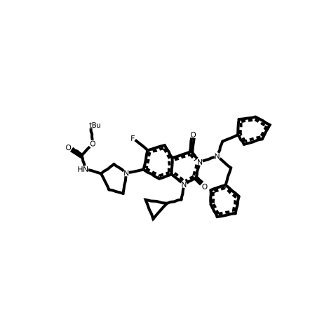 CC(C)(C)OC(=O)NC1CCN(c2cc3c(cc2F)c(=O)n(N(Cc2ccccc2)Cc2ccccc2)c(=O)n3CC2CC2)C1